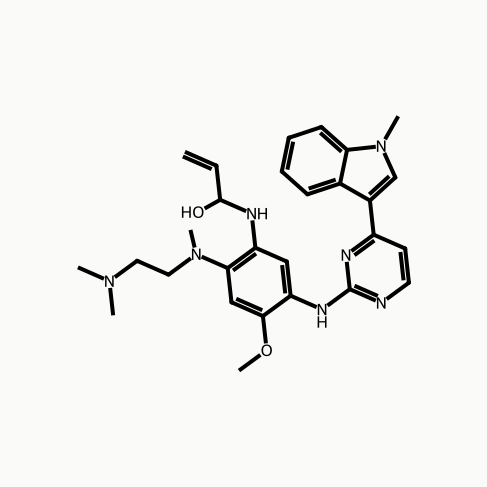 C=CC(O)Nc1cc(Nc2nccc(-c3cn(C)c4ccccc34)n2)c(OC)cc1N(C)CCN(C)C